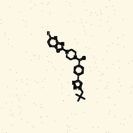 CC(C)(C)Cn1cc(-c2ccc(C(=O)N3CCN(c4nc5nc(F)ccc5o4)CC3)cc2)nn1